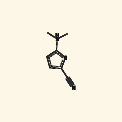 C[SH](C)c1ccc(C#N)s1